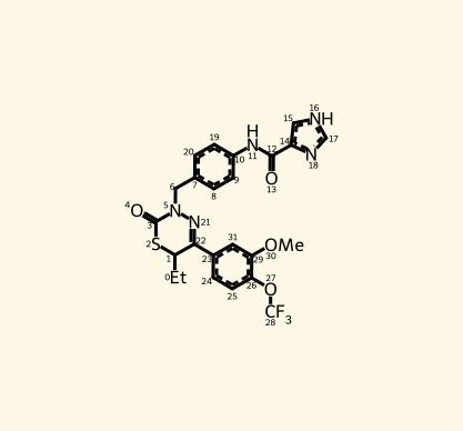 CCC1SC(=O)N(Cc2ccc(NC(=O)c3c[nH]cn3)cc2)N=C1c1ccc(OC(F)(F)F)c(OC)c1